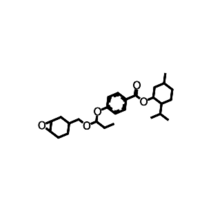 CCC(OCC1CCC2OC2C1)Oc1ccc(C(=O)OC2CC(C)CCC2C(C)C)cc1